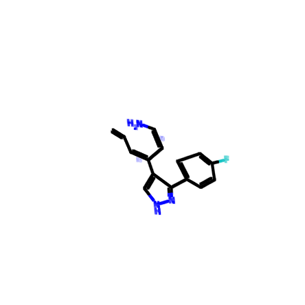 C=C/C=C(\C=C/N)c1c[nH]nc1-c1ccc(F)cc1